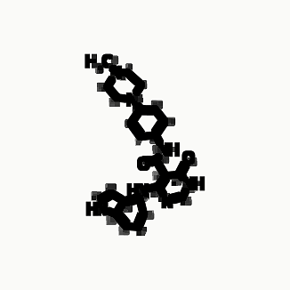 CN1CCN(c2ccc(NC(=O)c3c(Nc4cccc5[nH]ccc45)nc[nH]c3=O)cc2)CC1